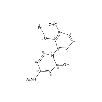 CCOc1c(C=O)cccc1-n1ccc(NC(C)=O)nc1=O